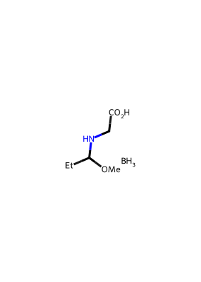 B.CCC(NCC(=O)O)OC